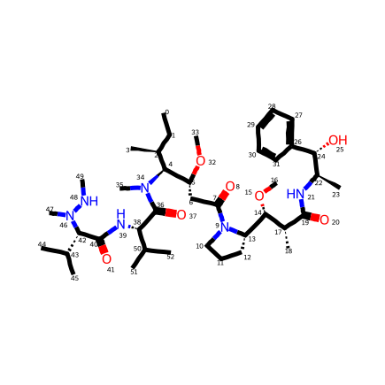 CC[C@H](C)[C@@H]([C@@H](CC(=O)N1CCC[C@H]1[C@H](OC)[C@@H](C)C(=O)N[C@H](C)[C@@H](O)c1ccccc1)OC)N(C)C(=O)[C@@H](NC(=O)[C@H](C(C)C)N(C)NC)C(C)C